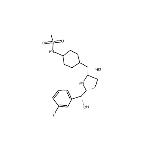 CS(=O)(=O)NC1CCC(C[C@@H]2CC[C@H]([C@H](O)c3cccc(F)c3)N2)CC1.Cl